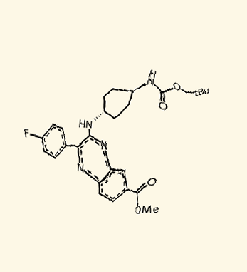 COC(=O)c1ccc2nc(-c3ccc(F)cc3)c(N[C@H]3CC[C@H](NC(=O)OC(C)(C)C)CC3)nc2c1